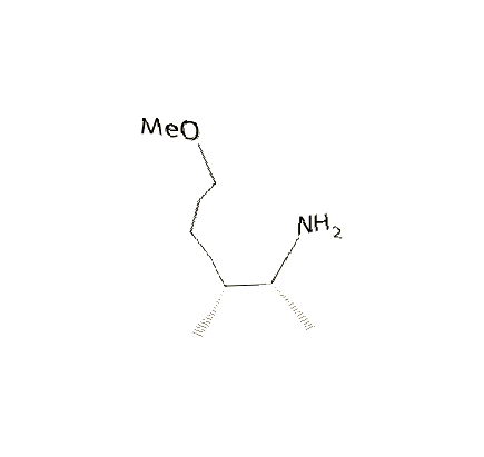 COCC[C@@H](C)[C@@H](C)N